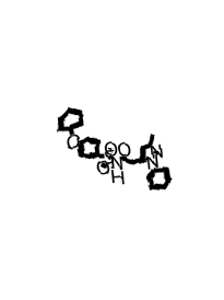 Cc1cc(CC(=O)NS(=O)(=O)c2ccc(Oc3ccccc3)cc2)n(-c2ccccc2)n1